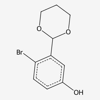 Oc1ccc(Br)c(C2OCCCO2)c1